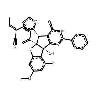 C=C(/C=C\C(C#N)=C/C)[C@@]12Oc3cc(OC)cc(F)c3[C@]1(O)c1nc(-c3ccccc3)[nH]c(=O)c1[C@H]2c1ccco1